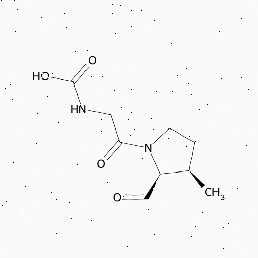 C[C@@H]1CCN(C(=O)CNC(=O)O)[C@@H]1C=O